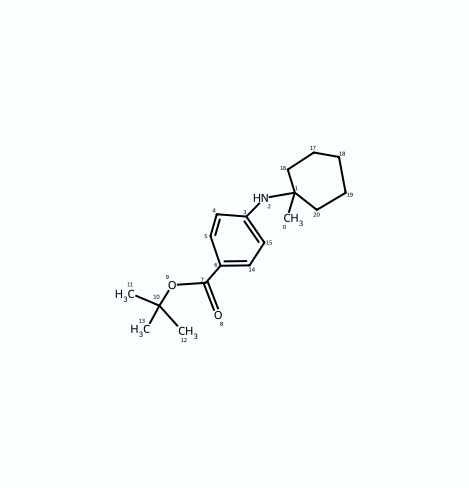 CC1(Nc2ccc(C(=O)OC(C)(C)C)cc2)CCCCC1